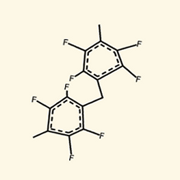 Cc1c(F)c(F)c(Cc2c(F)c(F)c(C)c(F)c2F)c(F)c1F